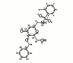 Cc1ccccc1S(=O)(=O)NCc1cc(=O)c(OCc2ccccc2)c(CO)o1